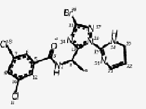 CC(NC(=O)c1cc(Cl)cc(Cl)c1)c1nc(Br)nn1C1=NC=CCN1